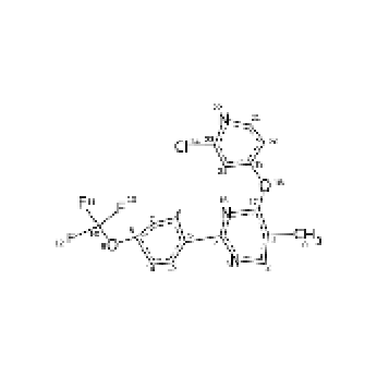 Cc1cnc(-c2ccc(OC(F)(F)F)cc2)nc1Oc1ccnc(Cl)c1